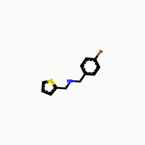 Brc1ccc(CNCc2cccs2)cc1